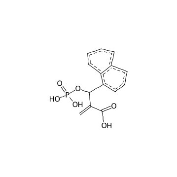 C=C(C(=O)O)C(OP(=O)(O)O)c1cccc2ccccc12